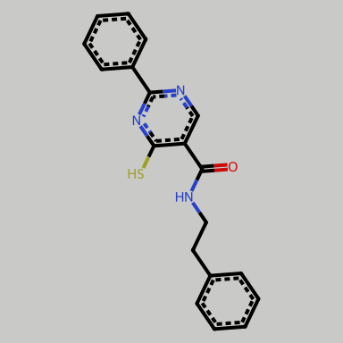 O=C(NCCc1ccccc1)c1cnc(-c2ccccc2)nc1S